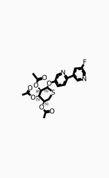 CC(=O)O[C@@H]1[C@@H](OC(C)=O)[C@@H](Oc2ccc(-c3cncc(F)c3)nc2)SC[C@H]1OC(C)=O